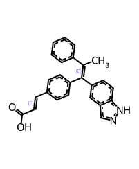 C/C(=C(/c1ccc(/C=C/C(=O)O)cc1)c1ccc2[nH]ncc2c1)c1ccccc1